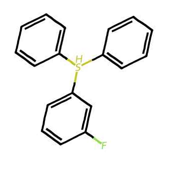 Fc1cccc([SH](c2ccccc2)c2ccccc2)c1